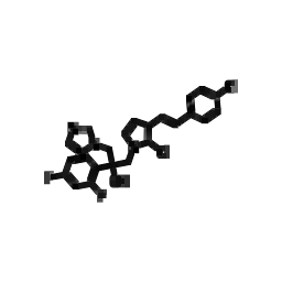 OC(Cn1cncn1)(Cn1ccc(C=Cc2ccc(Cl)cc2)c1Cl)c1ccc(F)cc1F